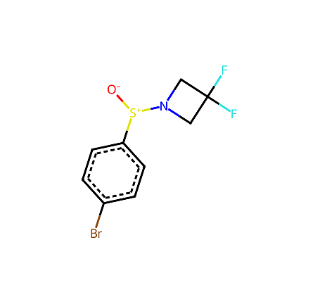 [O-][S+](c1ccc(Br)cc1)N1CC(F)(F)C1